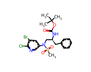 CC(C)(C)OC(=O)N[C@@H](Cc1ccccc1)CN(c1cnc(Cl)c(Br)c1)S(C)(=O)=O